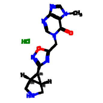 Cl.Cn1cnc2ncn(Cc3nc([C@H]4[C@@H]5CNC[C@@H]54)no3)c(=O)c21